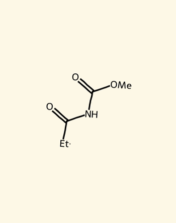 C[CH]C(=O)NC(=O)OC